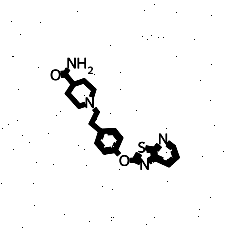 NC(=O)C1CCN(CCc2ccc(Oc3nc4cccnc4s3)cc2)CC1